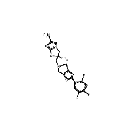 CC1(CN2Cc3nc(-c4cc(F)c(F)cc4F)sc3C2)Cn2cc([N+](=O)[O-])nc2O1